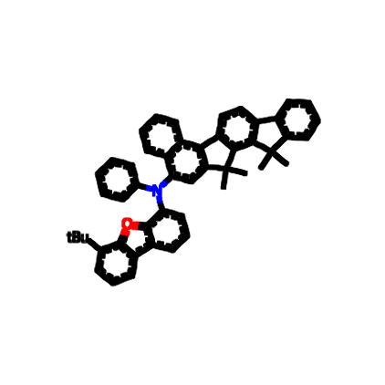 CC(C)(C)c1cccc2c1oc1c(N(c3ccccc3)c3cc4c(c5ccccc35)-c3ccc5c(c3C4(C)C)C(C)(C)c3ccccc3-5)cccc12